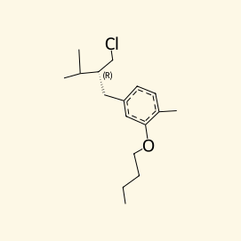 CCCCOc1cc(C[C@@H](CCl)C(C)C)ccc1C